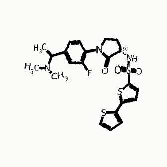 CC(c1ccc(N2CC[C@H](NS(=O)(=O)c3ccc(-c4cccs4)s3)C2=O)c(F)c1)N(C)C